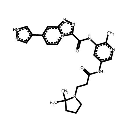 Cc1ncc(NC(=O)CCN2CCCC2(C)C)cc1NC(=O)c1nnc2cc(-c3cn[nH]c3)ccn12